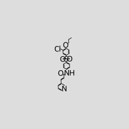 CCCOc1ccc(S(=O)(=O)c2ccc(NC(=O)C=Cc3cccnc3)cc2)cc1Cl